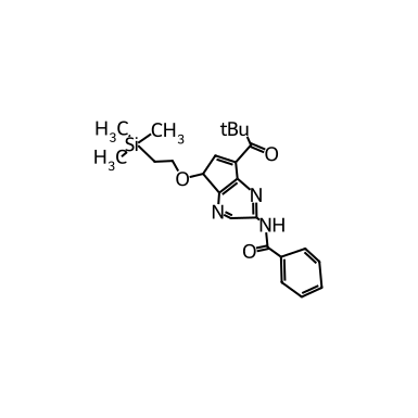 CC(C)(C)C(=O)C1=CC(OCC[Si](C)(C)C)c2ncc(NC(=O)c3ccccc3)nc21